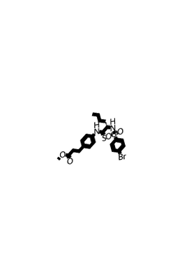 CCCC[C@H](NS(=O)(=O)c1ccc(Br)cc1)C(=S)Nc1ccc(CCC(=O)OC)cc1